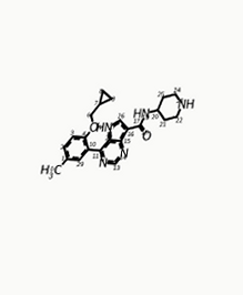 Cc1ccc(OCC2CC2)c(-c2ncnc3c(C(=O)NC4CCNCC4)c[nH]c23)c1